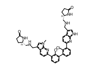 Cn1cc(CNC[C@@H]2CCC(=O)N2)c2ccc(-c3cccc(-c4cccc(-c5ccc6c(CNC[C@@H]7CCC(=O)N7)c[nH]c6n5)c4Cl)c3Cl)nc21